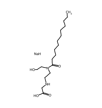 CCCCCCCCCCCC(=O)N(CCO)CCNCC(=O)O.[NaH]